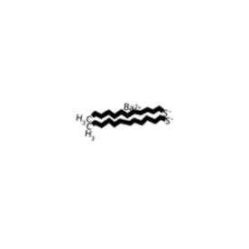 CCCCCCCCCCCC[S-].CCCCCCCCCCCC[S-].[Ba+2]